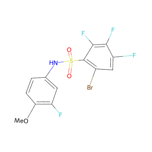 COc1ccc(NS(=O)(=O)c2c(Br)cc(F)c(F)c2F)cc1F